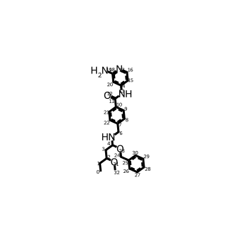 CCC(CC(NCc1ccc(C(=O)Nc2ccnc(N)c2)cc1)OCc1ccccc1)OC